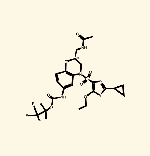 CCOc1sc(C2CC2)nc1S(=O)(=O)N1C[C@H](CNC(C)=O)Oc2ccc(NC(=O)OC(C)(C)C(F)(F)F)cc21